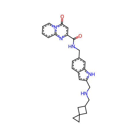 O=C(NCc1ccc2cc(CNCC3CC4(CC4)C3)[nH]c2c1)c1cc(=O)n2ccccc2n1